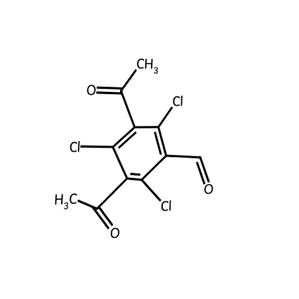 CC(=O)c1c(Cl)c(C=O)c(Cl)c(C(C)=O)c1Cl